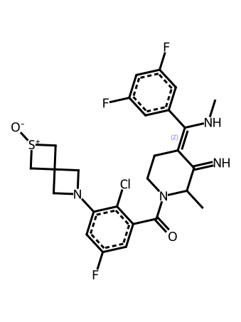 CN/C(=C1/CCN(C(=O)c2cc(F)cc(N3CC4(C3)C[S+]([O-])C4)c2Cl)C(C)C1=N)c1cc(F)cc(F)c1